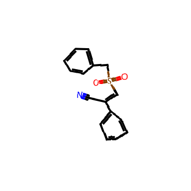 N#CC(=CS(=O)(=O)Cc1ccccc1)c1ccccc1